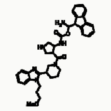 COCCCn1c([C@@H]2CCCN(C(=O)[C@H]3CNC[C@H]3NC(=O)OC(N)C3c4ccccc4-c4ccccc43)C2)nc2ccccc21